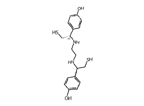 Oc1ccc(C(CS)NCCN[C@H](CS)c2ccc(O)cc2)cc1